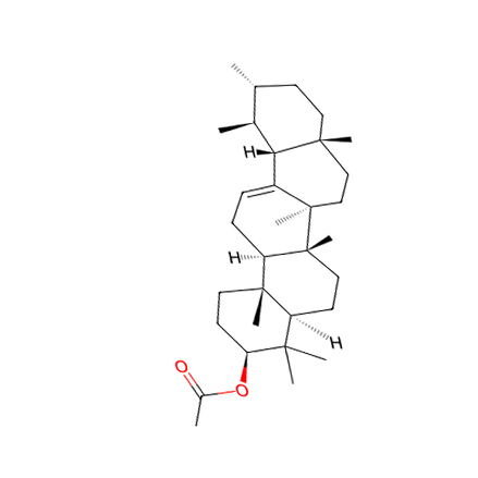 CC(=O)O[C@H]1CC[C@]2(C)[C@H]3CC=C4[C@@H]5[C@@H](C)[C@H](C)CC[C@]5(C)CC[C@@]4(C)[C@]3(C)CC[C@H]2C1(C)C